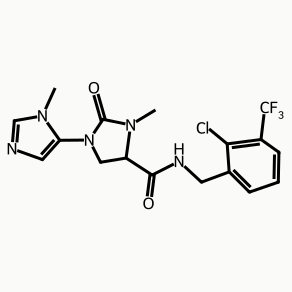 CN1C(=O)N(c2cncn2C)CC1C(=O)NCc1cccc(C(F)(F)F)c1Cl